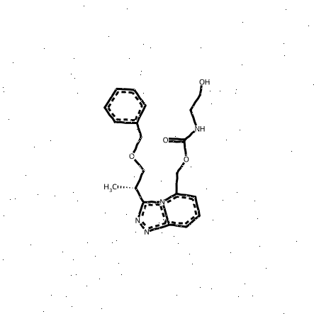 C[C@H](COCc1ccccc1)c1nnc2cccc(COC(=O)NCCO)n12